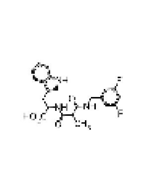 CC(C(=O)NCc1cc(F)cc(F)c1)C(=O)NC(Cc1c[nH]c2ccccc12)C(=O)O